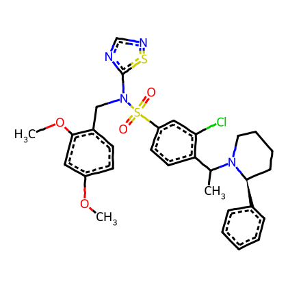 COc1ccc(CN(c2ncns2)S(=O)(=O)c2ccc(C(C)N3CCCC[C@H]3c3ccccc3)c(Cl)c2)c(OC)c1